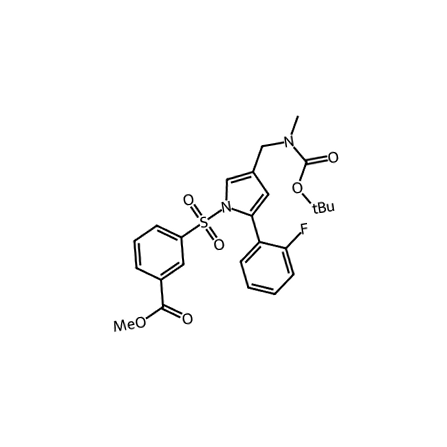 COC(=O)c1cccc(S(=O)(=O)n2cc(CN(C)C(=O)OC(C)(C)C)cc2-c2ccccc2F)c1